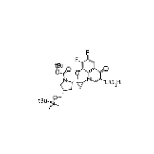 CC(C)(C)OC(=O)N1C[C@@H](CO[Si](C)(C)C(C)(C)C)C[C@H]1COc1c(F)c(F)cc2c(=O)c(C(=O)O)cn(C3CC3)c12